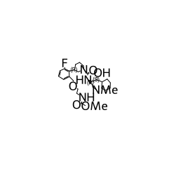 CNC[C@@H](NC(=O)N1CCC[C@H](c2c(F)cccc2COCCNC(=O)OC)C1)[C@@H](O)C1CCCCC1